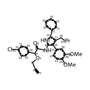 C#CCOC(C(=O)Nc1[nH]c(-c2ccccc2)c(CC(C)C)c1-c1ccc(OC)c(OC)c1)c1ccc(Cl)cc1